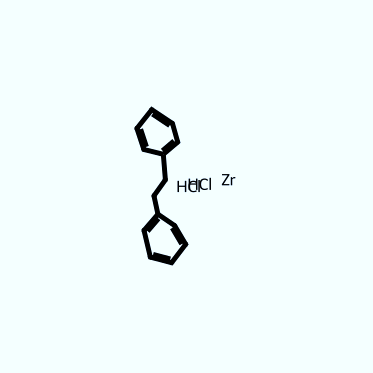 Cl.Cl.[Zr].c1ccc(CCc2ccccc2)cc1